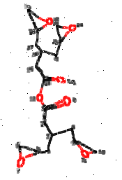 O=C(CC(CC1CO1)CC1CO1)OC(=O)CC(CC1CO1)CC1CO1